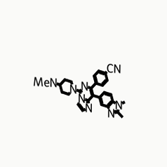 CNC1CCN(c2nc(-c3ccc(C#N)cc3)c(-c3ccc4c(c3)nc(C)n4C)c3nccn23)CC1